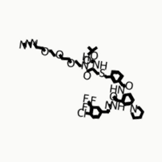 CC(C)(C)OC(=O)NC(CSCc1cccc(C(=O)Nc2ccc(N3CCCCC3)cc2C(=O)NN=Cc2ccc(Cl)c(C(F)(F)F)c2)c1)C(=O)NCCOCCOCCOCCN=[N+]=[N-]